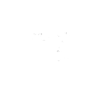 CC(O)CNc1nc(N)nc2cc(-c3ccn[nH]3)ccc12